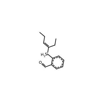 CC/C=C(\CC)[SiH2]c1ccccc1[C]=O